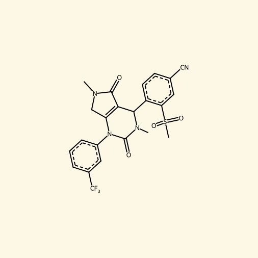 CN1CC2=C(C1=O)C(c1ccc(C#N)cc1S(C)(=O)=O)N(C)C(=O)N2c1cccc(C(F)(F)F)c1